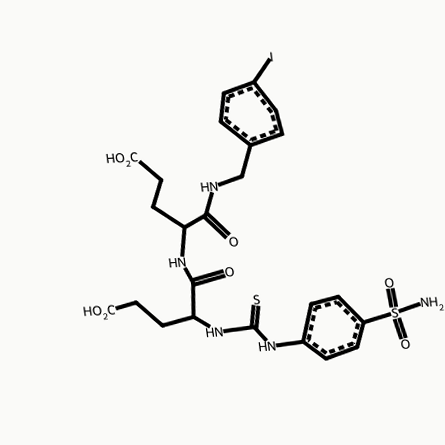 NS(=O)(=O)c1ccc(NC(=S)NC(CCC(=O)O)C(=O)NC(CCC(=O)O)C(=O)NCc2ccc(I)cc2)cc1